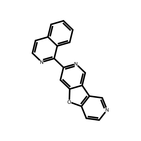 c1ccc2c(-c3cc4oc5ccncc5c4cn3)nccc2c1